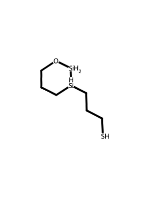 SCCC[SiH]1CCCO[SiH2]1